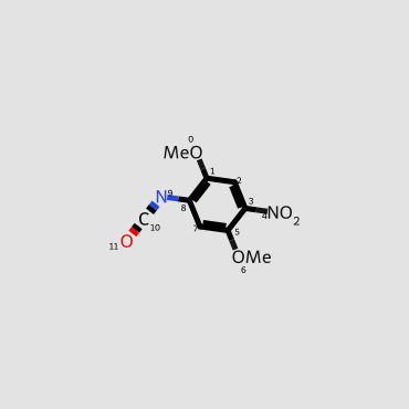 COc1cc([N+](=O)[O-])c(OC)cc1N=C=O